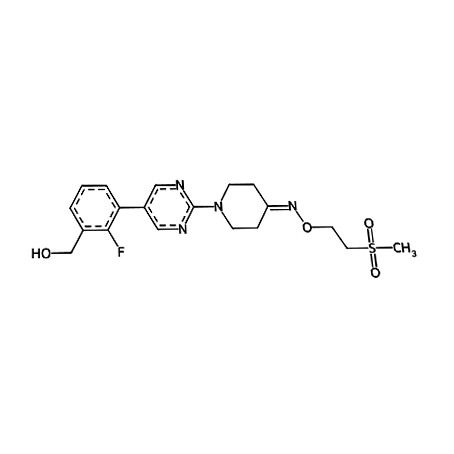 CS(=O)(=O)CCON=C1CCN(c2ncc(-c3cccc(CO)c3F)cn2)CC1